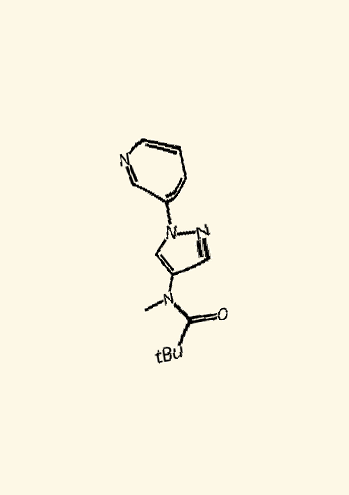 CN(C(=O)C(C)(C)C)c1cnn(-c2cccnc2)c1